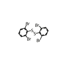 Brc1cccc(Br)c1SSc1c(Br)cccc1Br